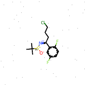 CC(C)(C)[S@+]([O-])/N=C(/CCCCl)c1cc(F)ccc1F